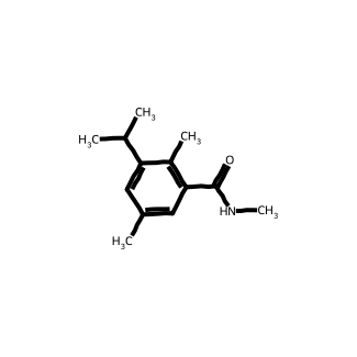 CNC(=O)c1cc(C)cc(C(C)C)c1C